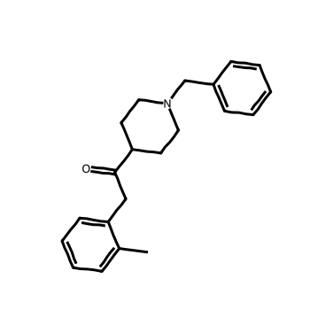 Cc1ccccc1CC(=O)C1CCN(Cc2ccccc2)CC1